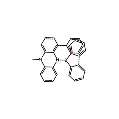 CN1c2ccccc2N(B2c3ccccc3-c3ccccc32)c2c(-c3ccccc3)cccc21